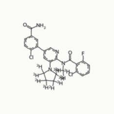 [2H]C([2H])([2H])N(C(=O)c1c(F)cccc1Cl)c1ncc(-c2cc(C(N)=O)ccc2Cl)cc1N1C([2H])([2H])C([2H])([2H])C([2H])([2H])C1([2H])[2H]